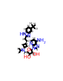 CC(C)N(C[C@H]1O[C@@H](n2cnc3c(N)ccnc32)[C@H](O)[C@@H]1O)[C@H]1C[C@H](CCc2nc3cc(C(C)(C)C)ccc3[nH]2)C1